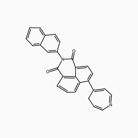 O=C1c2cccc3c(C4=CC=NC=CC4)ccc(c23)C(=O)N1c1ccc2ccccc2c1